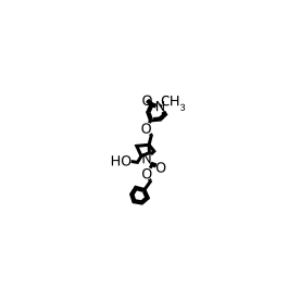 Cn1ccc(OCC23CN(C(=O)OCc4ccccc4)C(CO)(C2)C3)cc1=O